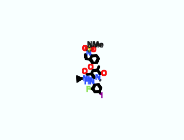 CNS(=O)(=O)n1ccc2c(Oc3c(C(=O)NC4CC4)c(Nc4ccc(I)cc4F)n(C)c(=O)c3C)cccc21